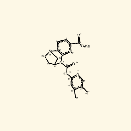 COC(=O)c1ccc2c(n1)N(C(=O)Nc1cc(C)c(F)cn1)C1CCN2C1